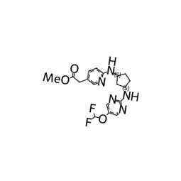 COC(=O)Cc1ccc(N[C@H]2CC[C@H](Nc3ncc(OC(F)F)cn3)C2)nc1